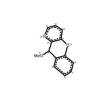 COC1c2ccccc2Oc2cccnc21